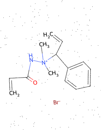 C=CC(=O)N[N+](C)(C)C(C=C)c1ccccc1.[Br-]